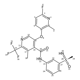 Cc1nc(F)ccc1Oc1cnc(C(F)(F)F)c(C)c1C(=O)Nc1cccc([S@](C)(=N)=O)c1